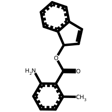 Cc1cccc(N)c1C(=O)OC1C=Cc2ccccc21